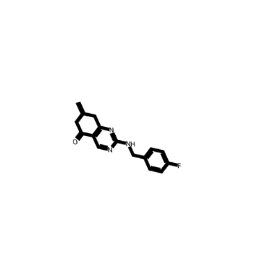 C=C1CC(=O)c2cnc(NCc3ccc(F)cc3)nc2C1